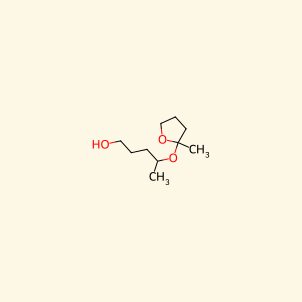 CC(CCCO)OC1(C)CCCO1